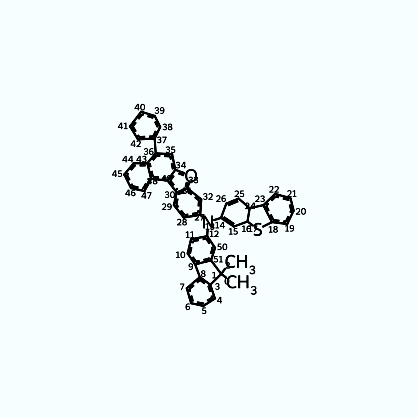 CC1(C)c2ccccc2-c2ccc(N(C3=CC4Sc5ccccc5C4C=C3)c3ccc4c(c3)oc3cc(-c5ccccc5)c5ccccc5c34)cc21